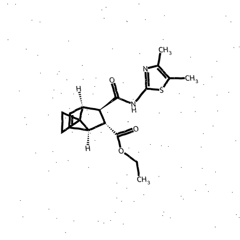 CCOC(=O)[C@H]1[C@H](C(=O)Nc2nc(C)c(C)s2)[C@@H]2C=C[C@H]1C21CC1